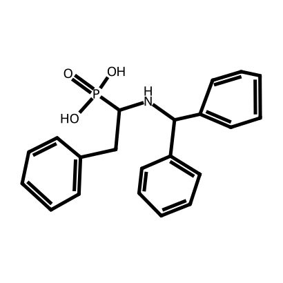 O=P(O)(O)C(Cc1ccccc1)NC(c1ccccc1)c1ccccc1